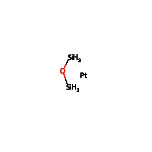 [Pt].[SiH3]O[SiH3]